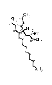 CCCCCCCCCCC(CCCC)C(N)(CCCC)CCCC.Cl